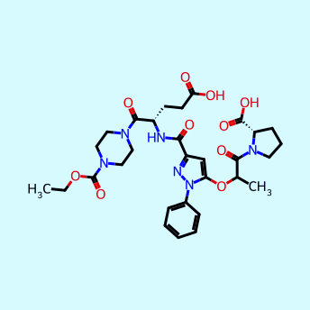 CCOC(=O)N1CCN(C(=O)[C@H](CCC(=O)O)NC(=O)c2cc(OC(C)C(=O)N3CCC[C@H]3C(=O)O)n(-c3ccccc3)n2)CC1